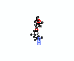 CNC(C)(C)CC(C)(C)COCCC(C)(C)OC(C)C